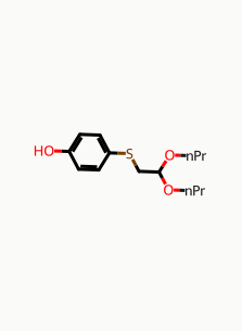 CCCOC(CSc1ccc(O)cc1)OCCC